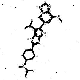 COc1cc(-c2[nH]c3sc(C4CCC(N(C)C(C)C)CC4)nc3c2C(C)C)cn2ncnc12